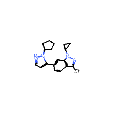 CCc1nn(C2CC2)c2cc(-c3ccnn3C3CCCC3)ccc12